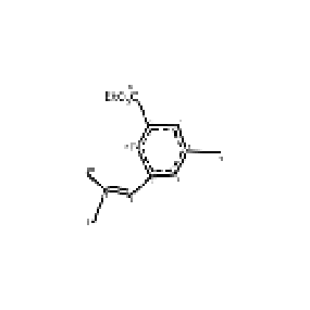 CCOC(=O)c1cc(C)cc(C=C(C)C)n1